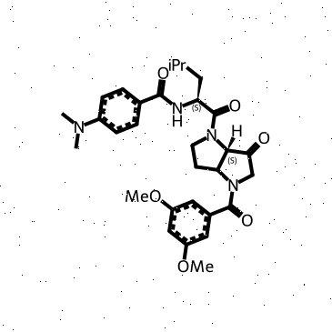 COc1cc(OC)cc(C(=O)N2CC(=O)[C@@H]3C2CCN3C(=O)[C@H](CC(C)C)NC(=O)c2ccc(N(C)C)cc2)c1